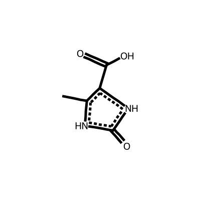 Cc1[nH]c(=O)[nH]c1C(=O)O